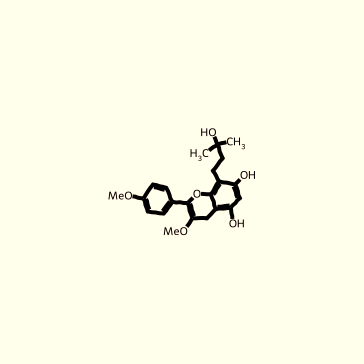 COC1=C(c2ccc(OC)cc2)Oc2c(CCC(C)(C)O)c(O)cc(O)c2C1